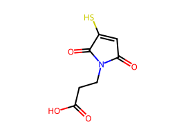 O=C(O)CCN1C(=O)C=C(S)C1=O